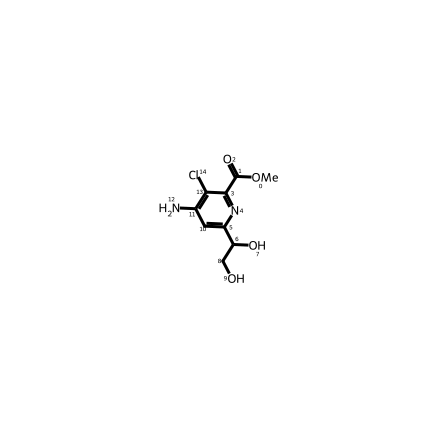 COC(=O)c1nc(C(O)CO)cc(N)c1Cl